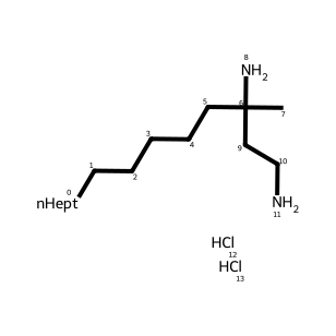 CCCCCCCCCCCCC(C)(N)CCN.Cl.Cl